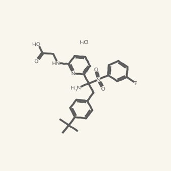 CC(C)(C)c1ccc(CC(N)(c2cccc(NCC(=O)O)n2)S(=O)(=O)c2cccc(F)c2)cc1.Cl